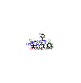 COC(=O)C1=C(CN2CCN3C(=O)NCC3(C(=O)OC)C2)NC(c2nccs2)=N[C@H]1c1ccc(F)cc1Cl